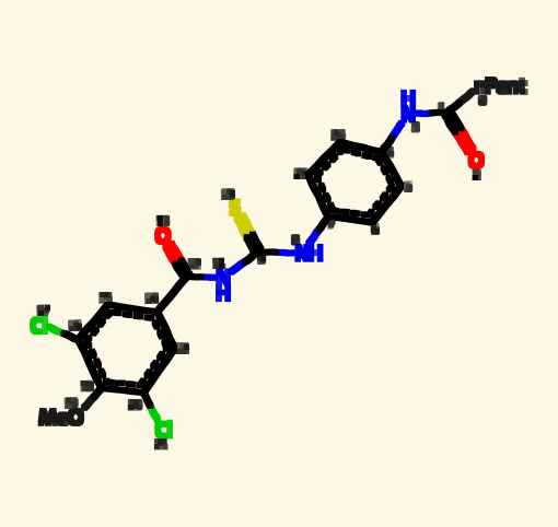 CCCCCC(=O)Nc1ccc(NC(=S)NC(=O)c2cc(Cl)c(OC)c(Cl)c2)cc1